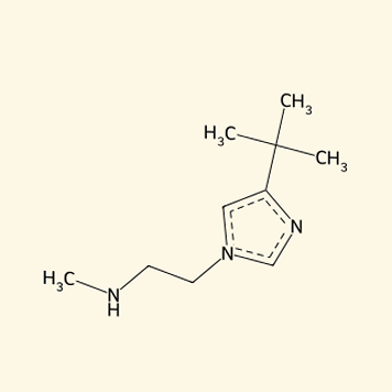 CNCCn1cnc(C(C)(C)C)c1